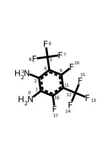 Nc1c(N)c(C(F)(F)F)c(F)c(C(F)(F)F)c1F